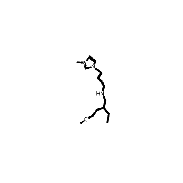 CCCCC(CC)CNCCCN1C=CN(C)C1